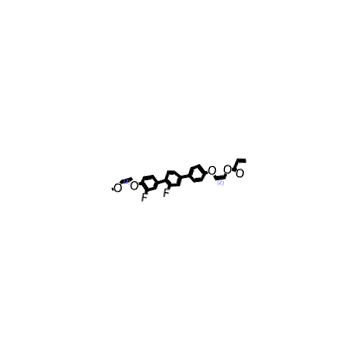 C=CC(=O)O/C=C\Oc1ccc(-c2ccc(-c3ccc(O/C=C\OC)c(F)c3)c(F)c2)cc1